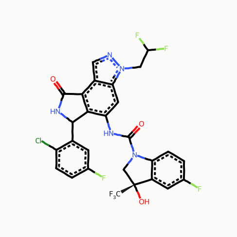 O=C1NC(c2cc(F)ccc2Cl)c2c(NC(=O)N3C[C@](O)(C(F)(F)F)c4cc(F)ccc43)cc3c(cnn3CC(F)F)c21